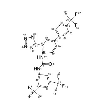 O=C(Nc1cc(C(F)(F)F)cc(C(F)(F)F)c1)Nc1ccc(-c2ccc(C(F)(F)F)cc2)cc1-c1nnn[nH]1